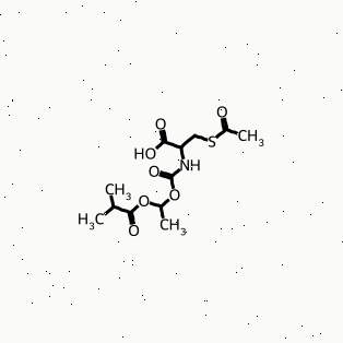 CC(=O)SCC(NC(=O)OC(C)OC(=O)C(C)C)C(=O)O